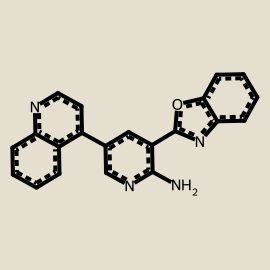 Nc1ncc(-c2ccnc3ccccc23)cc1-c1nc2ccccc2o1